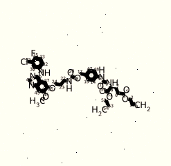 C=CCOC(=O)CC[C@H](NC(=O)Nc1ccc(COC(=O)NCCCOc2cc3c(Nc4ccc(F)c(Cl)c4)ncnc3cc2OC)cc1)C(=O)OCC=C